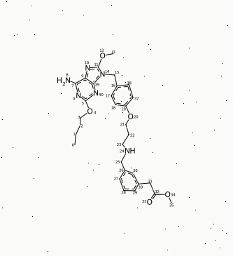 CCCCOc1nc(N)c2nc(OC)n(Cc3ccc(OCCCNCc4cccc(CC(=O)OC)c4)cc3)c2n1